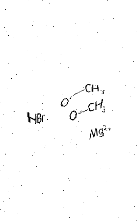 Br.C[O-].C[O-].[Mg+2]